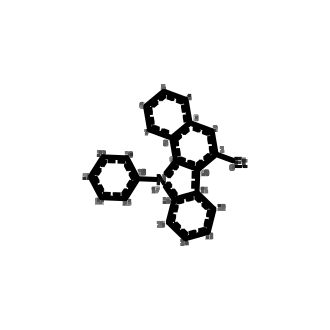 CCc1cc2ccccc2c2c1c1ccccc1n2-c1ccccc1